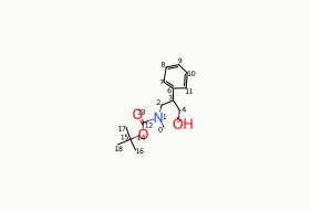 CN(CC(CO)c1ccccc1)C(=O)OC(C)(C)C